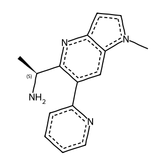 C[C@H](N)c1nc2ccn(C)c2cc1-c1ccccn1